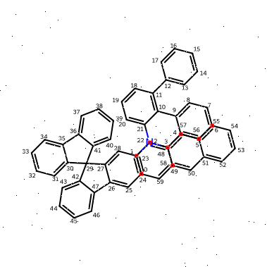 c1ccc(-c2ccccc2-c2c(-c3ccccc3)cccc2N(c2ccc3c(c2)C2(c4ccccc4-c4ccccc42)c2ccccc2-3)c2ccc3ccccc3c2)cc1